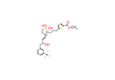 COC(=O)c1ccc(CCCN2[C@@H](C=CC(O)Cc3cccc(C(F)(F)F)c3)CCS2(O)O)s1